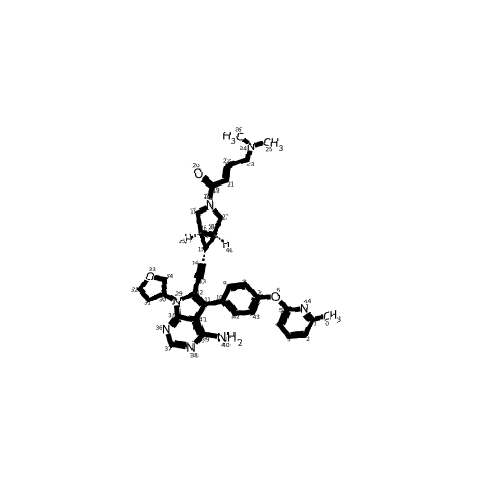 Cc1cccc(Oc2ccc(-c3c(C#C[C@@H]4[C@H]5CN(C(=O)/C=C/CN(C)C)C[C@@H]45)n(C4CCOC4)c4ncnc(N)c34)cc2)n1